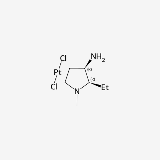 CC[C@@H]1[C@H](N)CCN1C.[Cl][Pt][Cl]